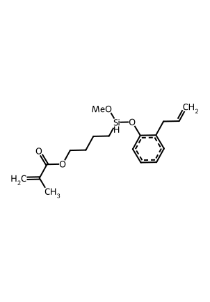 C=CCc1ccccc1O[SiH](CCCCOC(=O)C(=C)C)OC